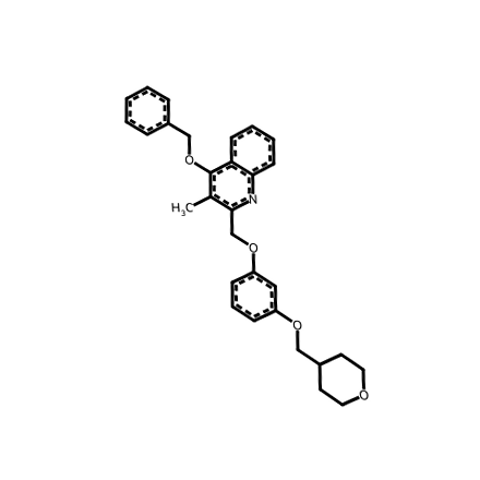 Cc1c(COc2cccc(OCC3CCOCC3)c2)nc2ccccc2c1OCc1ccccc1